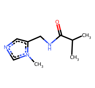 CC(C)C(=O)NCc1cncn1C